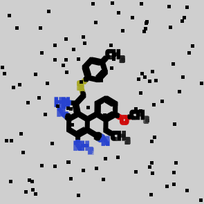 CCc1c(OC)cccc1C1C(C#N)=C(N)Cc2n[nH]c(CSc3ccc(C)cc3)c21